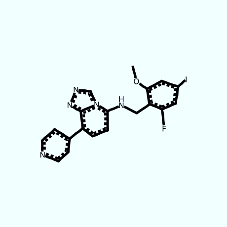 COc1cc(I)cc(F)c1CNc1ccc(-c2ccncc2)c2nncn12